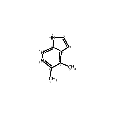 Cc1nnc2[nH]ccc2c1C